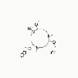 COC1CC[N]([Ti+3])C(OC)CCN(C)C(OC)CCN1C.[Cl-].[Cl-].[Cl-]